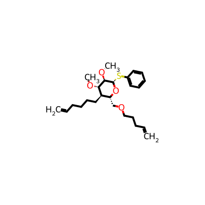 C=CCCCC[C@H]1[C@H](OC)[C@@H](OC)[C@H](Sc2ccccc2)O[C@@H]1COCCCC=C